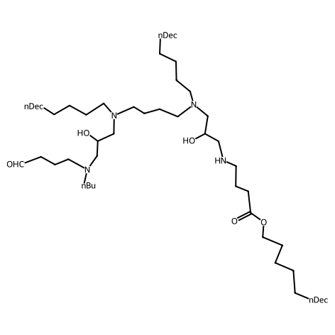 CCCCCCCCCCCCCCCOC(=O)CCCNCC(O)CN(CCCCCCCCCCCCCC)CCCCN(CCCCCCCCCCCCCC)CC(O)CN(CCCC)CCCC=O